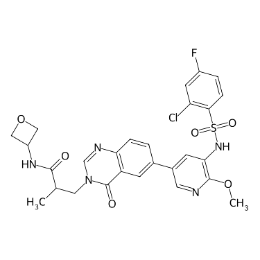 COc1ncc(-c2ccc3ncn(CC(C)C(=O)NC4COC4)c(=O)c3c2)cc1NS(=O)(=O)c1ccc(F)cc1Cl